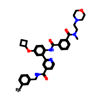 CN(CCN1CCOCC1)C(=O)c1cccc(C(=O)Nc2ccc(OC3CCC3)cc2-c2cc(C(=O)NCc3cccc(C(F)(F)F)c3)ccn2)c1